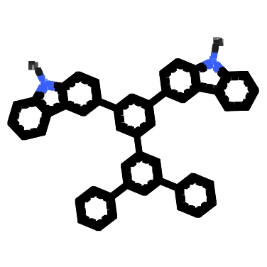 CCn1c2ccccc2c2cc(-c3cc(-c4cc(-c5ccccc5)cc(-c5ccccc5)c4)cc(-c4ccc5c(c4)c4ccccc4n5CC)c3)ccc21